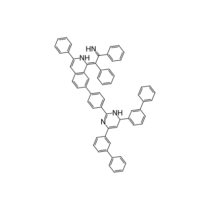 N=C(/C(=C1\NC(c2ccccc2)=Cc2ccc(-c3ccc(C4=NC(c5cccc(-c6ccccc6)c5)=CC(c5cccc(-c6ccccc6)c5)N4)cc3)cc21)c1ccccc1)c1ccccc1